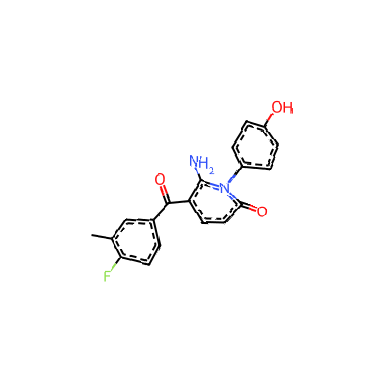 Cc1cc(C(=O)c2ccc(=O)n(-c3ccc(O)cc3)c2N)ccc1F